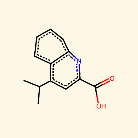 CC(C)c1cc(C(=O)O)nc2ccccc12